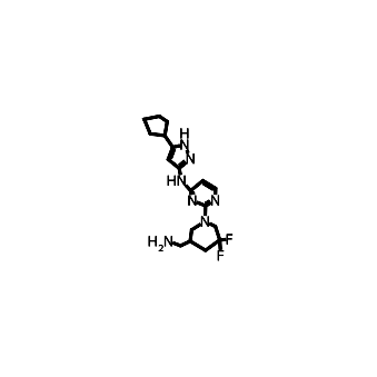 NCC1CN(c2nccc(Nc3cc(C4CCCC4)[nH]n3)n2)CC(F)(F)C1